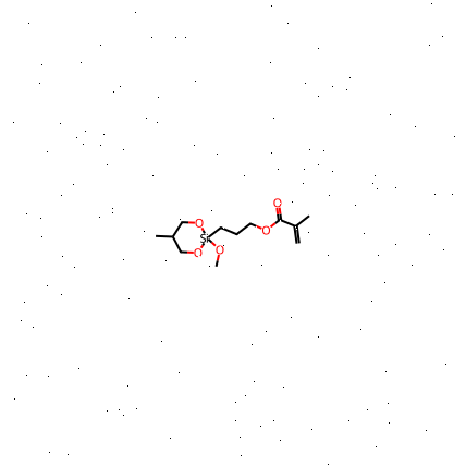 C=C(C)C(=O)OCCC[Si]1(OC)OCC(C)CO1